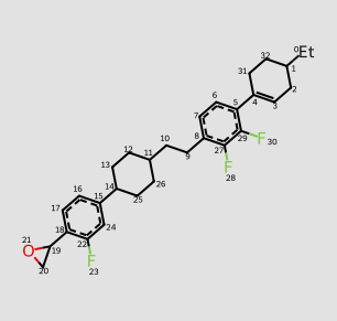 CCC1CC=C(c2ccc(CCC3CCC(c4ccc(C5CO5)c(F)c4)CC3)c(F)c2F)CC1